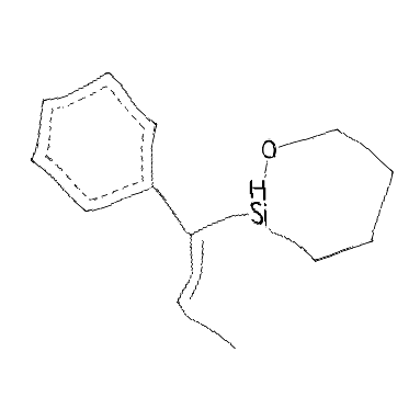 CC=C(c1ccccc1)[SiH]1CCCCO1